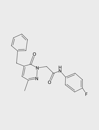 Cc1cc(Cc2ccccc2)c(=O)n(CC(=O)Nc2ccc(F)cc2)n1